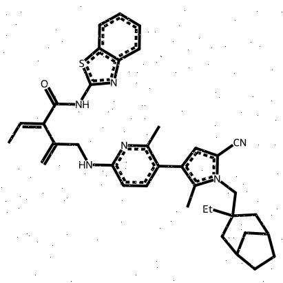 C=C(CNc1ccc(-c2cc(C#N)n(CC3(CC)CC4CCC(C4)C3)c2C)c(C)n1)/C(=C\C)C(=O)Nc1nc2ccccc2s1